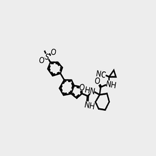 CS(=O)(=O)c1ccc(-c2ccc3cc(C(=N)NC4(C(=O)NC5(C#N)CC5)CCCCC4)oc3c2)cc1